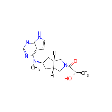 CN(c1ncnc2[nH]ccc12)[C@H]1C[C@@H]2CN(C(=O)[C@H](O)C(F)(F)F)C[C@@H]2C1